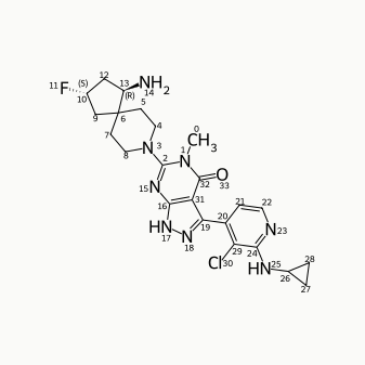 Cn1c(N2CCC3(CC2)C[C@H](F)C[C@H]3N)nc2[nH]nc(-c3ccnc(NC4CC4)c3Cl)c2c1=O